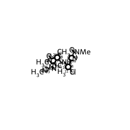 CNC(=O)c1ccc(-c2cc(Cl)ccc2NC(C)c2cc(C)cc3c(=O)n(C)c4c(cnn4C4CN(C)C4)c23)cn1